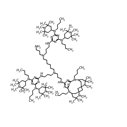 CCCCN(c1nc(NCCCN(CCCN)CCCCCCN(CCCNc2nc(N(CCCC)C3CC(C)(C)N(C)C(C)(C)C3)nc(N(CCCC)C3CC(C)(C)N(C)C(C)(C)C3)n2)CCCNc2nc3nc(n2)N(CCCC)C2CC(C)(C)N(C)C4(C2)CC2(CC(CC(C)(C)N2C)N3CCCC)C4)nc(N(CCCC)C2CC(C)(C)N(C)C(C)(C)C2)n1)C1CC(C)(C)N(C)C(C)(C)C1